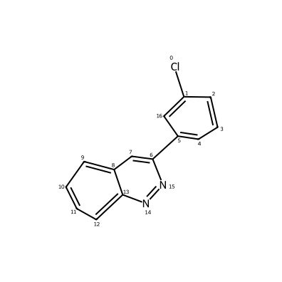 Clc1cccc(-c2cc3ccccc3nn2)c1